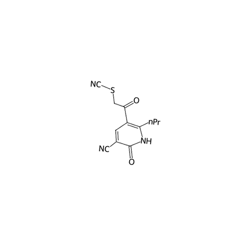 CCCc1[nH]c(=O)c(C#N)cc1C(=O)CSC#N